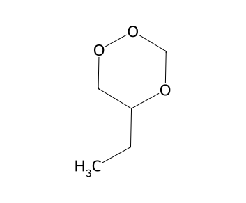 CCC1COOCO1